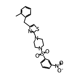 Cc1ccccc1Cc1csc(N2CCN(S(=O)(=O)c3cccc([N+](=O)[O-])c3)CC2)n1